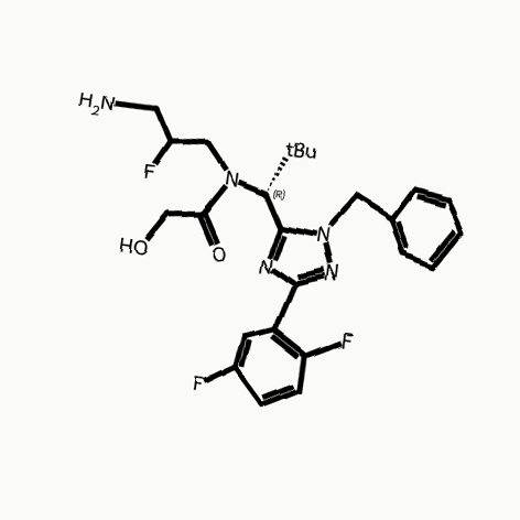 CC(C)(C)[C@H](c1nc(-c2cc(F)ccc2F)nn1Cc1ccccc1)N(CC(F)CN)C(=O)CO